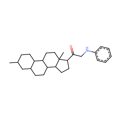 CC1CCC2C(CCC3C2CCC2(C)C(C(=O)CNc4ccccc4)CCC32)C1